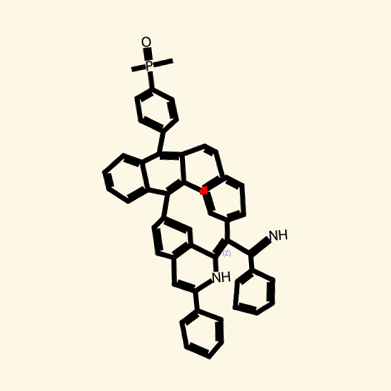 CP(C)(=O)c1ccc(-c2c3ccccc3c(-c3ccc4c(c3)/C(=C(/C(=N)c3ccccc3)c3ccccc3)NC(c3ccccc3)=C4)c3ccccc23)cc1